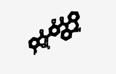 Cc1c(F)cccc1C(=O)Nc1ccc(C(=O)N2c3ccccc3CNc3ccccc32)c(Cl)c1